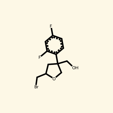 OCC1(c2ccc(F)cc2F)COC(CBr)C1